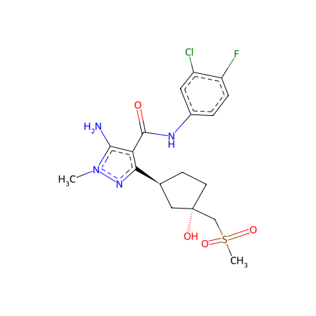 Cn1nc([C@H]2CC[C@@](O)(CS(C)(=O)=O)C2)c(C(=O)Nc2ccc(F)c(Cl)c2)c1N